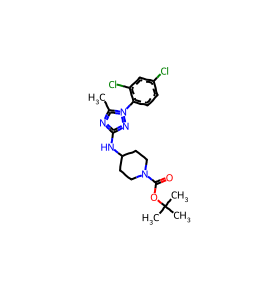 Cc1nc(NC2CCN(C(=O)OC(C)(C)C)CC2)nn1-c1ccc(Cl)cc1Cl